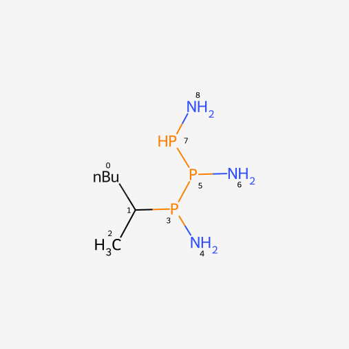 CCCCC(C)P(N)P(N)PN